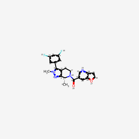 C[C@@H]1c2nn(C)c(-c3cc(F)cc(F)c3)c2CCN1C(=O)c1cnc2ccoc2c1